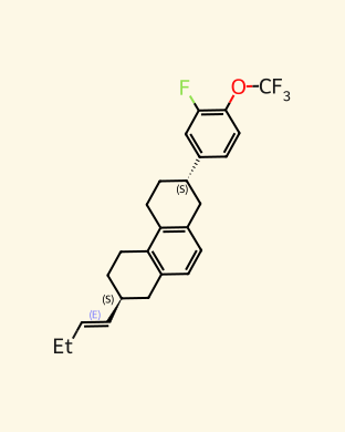 CC/C=C/[C@H]1CCc2c(ccc3c2CC[C@H](c2ccc(OC(F)(F)F)c(F)c2)C3)C1